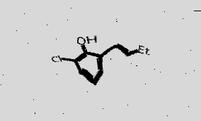 CC/C=C/c1cccc(Cl)c1O